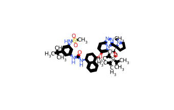 CC(C)[Si](OC[C@@]1(c2nnc3ccc(O[C@@H]4CC[C@H](NC(=O)Nc5cc(NS(C)(=O)=O)cc(C(C)(C)C)c5)c5ccccc54)cn23)CCCN1C)(C(C)C)C(C)C